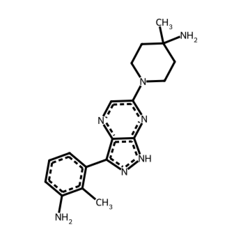 Cc1c(N)cccc1-c1n[nH]c2nc(N3CCC(C)(N)CC3)cnc12